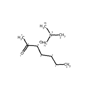 CCCCCC(C)=O.CN(C)C=O